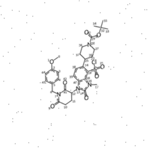 COc1ccc(CN2C(=O)CCC(n3c(=O)n(C)c4c(S(=O)(=O)Cl)c(C5CCN(C(=O)OC(C)(C)C)CC5)ccc43)C2=O)cc1